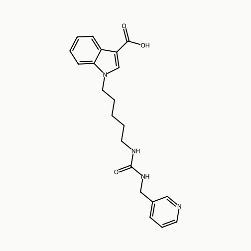 O=C(NCCCCCn1cc(C(=O)O)c2ccccc21)NCc1cccnc1